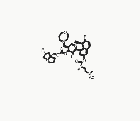 C#Cc1c(F)ccc2cc(OC(=O)N(C)CCN(C)C(C)=O)cc(-c3ncc4c(N5CCCOCC5)nc(OC[C@@]56CCCN5C[C@H](F)C6)nc4c3F)c12